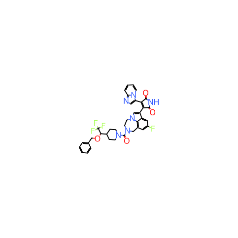 O=C1NC(=O)C(c2cnc3ccccn23)=C1c1cn2c3c(cc(F)cc13)CN(C(=O)N1CCC(C(OCc3ccccc3)C(F)(F)F)CC1)CC2